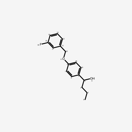 CCCC(O)c1ccc(OCc2cccc(F)c2)cc1